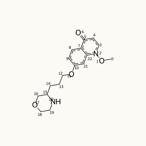 COn1ccc(=O)c2ccc(OCCCC3COCCN3)cc21